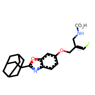 O=C(O)NC/C(=C\F)COc1ccc2nc(C34CC5CC(CC(C5)C3)C4)oc2c1